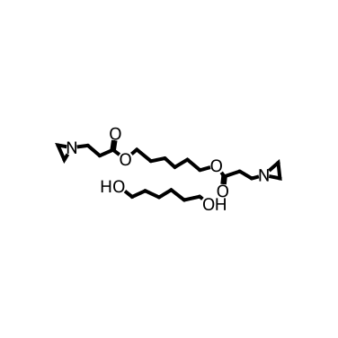 O=C(CCN1CC1)OCCCCCCOC(=O)CCN1CC1.OCCCCCCO